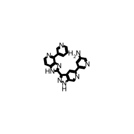 Nc1cncc(-c2cc3c(-c4nc5c(-c6cccnc6)nccc5[nH]4)n[nH]c3cn2)c1